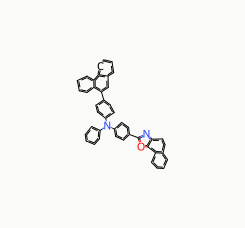 c1ccc(N(c2ccc(-c3nc4ccc5ccccc5c4o3)cc2)c2ccc(-c3cc4ccccc4c4ccccc34)cc2)cc1